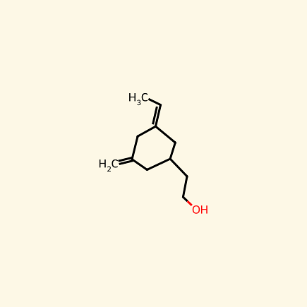 C=C1C/C(=C\C)CC(CCO)C1